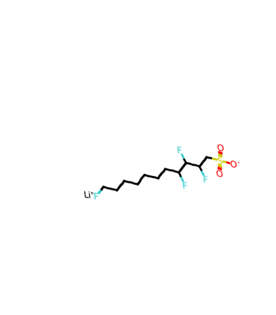 O=S(=O)([O-])CC(F)C(F)C(F)CCCCCCCF.[Li+]